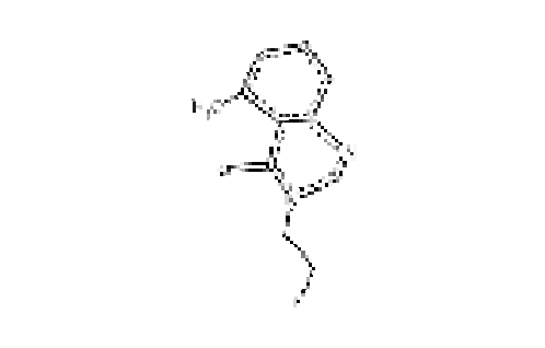 Cc1cccc2ncn(CCF)c(=O)c12